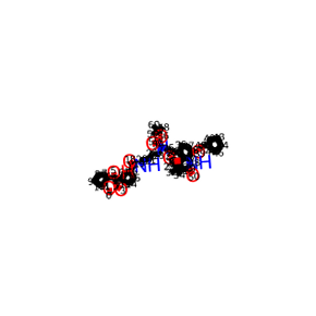 COC(=O)C(O)(c1ccccc1)c1cccc(C(=O)NCCCCN(CC(O[Si](C)(C)C(C)(C)C)c2ccc(OCc3ccccc3)c3[nH]c(=O)ccc23)C(=O)OC(C)(C)C)c1